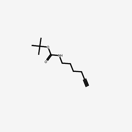 C#CCCCCNC(=O)OC(C)(C)C